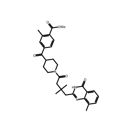 COC(=O)c1ccc(C(=O)C2CCN(C(=O)CC(C)(C)Cc3nc4c(C)cccc4c(=O)[nH]3)CC2)cc1C